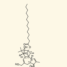 CCCCCCCCCCCCCC(=O)O[C@@H]1[C@@H](C)[C@@]2(O)[C@@H](C=C(CO)C[C@]3(O)C(=O)C(C)=C[C@@H]23)[C@@H]2C(C)(C)[C@]12O